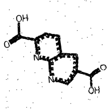 O=C(O)c1cnc2nc(C(=O)O)ccc2c1